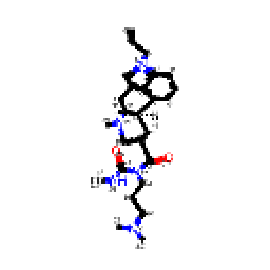 C=CCn1cc2c3c(cccc31)[C@H]1CC(C(=O)N(CCCN(C)C)C(=O)NCC)CN(C)[C@@H]1C2